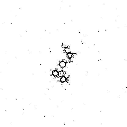 COC(=O)Oc1cc(C)nc(N[C@@H]2CCCN(C(=O)c3ccccc3-c3ccc(C)c(C)c3)C2)n1